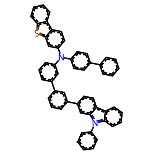 c1ccc(-c2ccc(N(c3cccc(-c4cccc(-c5ccc6c7ccccc7n(-c7ccccc7)c6c5)c4)c3)c3ccc4c(c3)sc3ccccc34)cc2)cc1